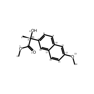 COC(=O)[C@](C)(O)c1ccc2cc(OC)ccc2c1